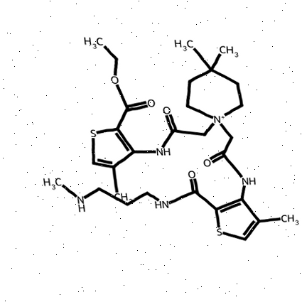 CCOC(=O)c1scc(C)c1NC(=O)C[N+]1(CC(=O)Nc2c(C)csc2C(=O)NCCCNC)CCC(C)(C)CC1